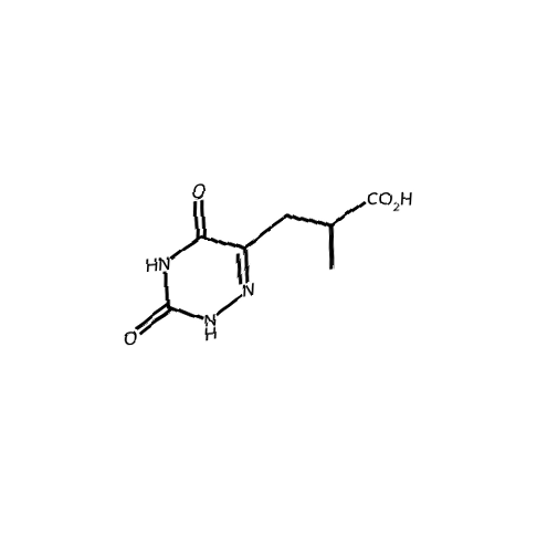 CC(Cc1n[nH]c(=O)[nH]c1=O)C(=O)O